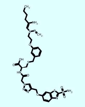 C=NN(/C=C(\N)CCCC)CCOc1cccc(CSC[C@@H](NC(=O)Cn2cc(COc3ccc4nc(S(N)(=O)=O)sc4c3)nn2)C(=O)O)c1